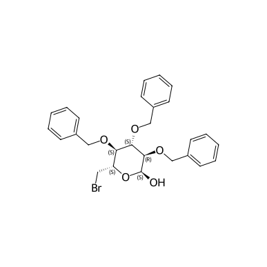 O[C@H]1O[C@H](CBr)[C@@H](OCc2ccccc2)[C@H](OCc2ccccc2)[C@H]1OCc1ccccc1